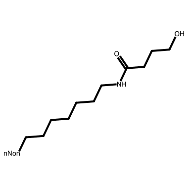 CCCCCCCCCCCCCCCCNC(=O)CCCO